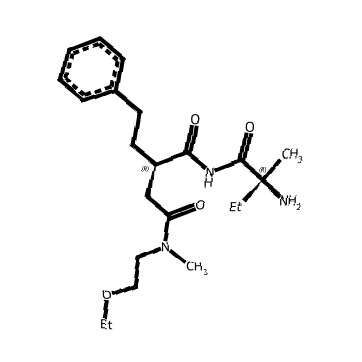 CCOCCN(C)C(=O)C[C@@H](CCc1ccccc1)C(=O)NC(=O)[C@](C)(N)CC